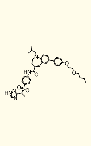 CCCCOCCOc1ccc(-c2ccc3c(c2)C=C(C(=O)Nc2ccc(S(=O)(=O)C(C)c4nc[nH]n4)cc2)CCN3CC(C)C)cc1